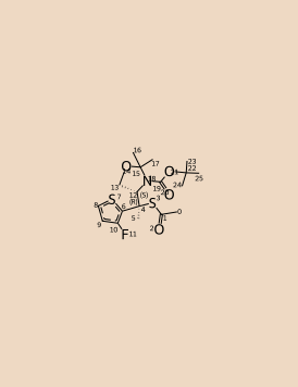 CC(=O)S[C@@](C)(c1sccc1F)[C@@H]1COC(C)(C)N1C(=O)OC(C)(C)C